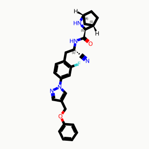 N#C[C@H](Cc1ccc(-n2cc(COc3ccccc3)cn2)cc1F)NC(=O)[C@H]1N[C@@H]2CC[C@H]1C2